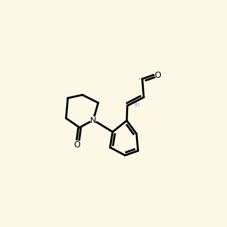 O=[C]/C=C/c1ccccc1N1CCCCC1=O